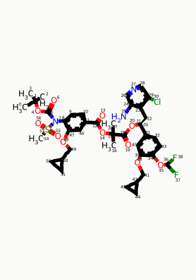 CC(C)(C)OC(=O)N(c1ccc(C(=O)OC(C)(C)C(=O)O[C@@H](Cc2c(N)cncc2Cl)c2ccc(OC(F)F)c(OCC3CC3)c2)cc1OCC1CC1)S(C)(=O)=O